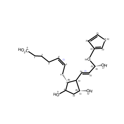 O=C(O)CCC/C=C\C[C@H]1C(O)C[C@@H](O)C1/C=C/[C@@H](O)Oc1ccsc1